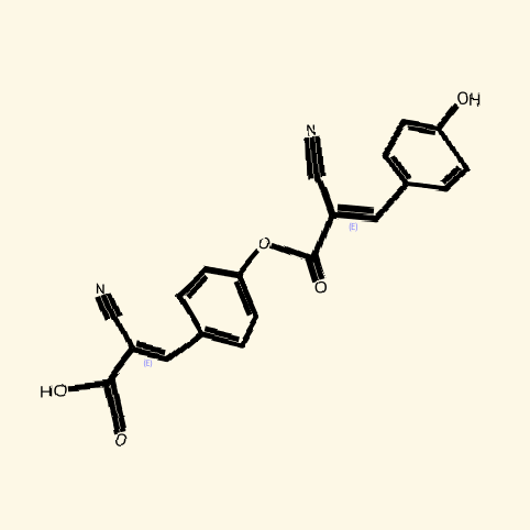 N#C/C(=C\c1ccc(OC(=O)/C(C#N)=C/c2ccc(O)cc2)cc1)C(=O)O